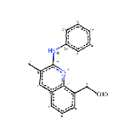 Cc1cc2cccc(CC=O)c2nc1Nc1ccccc1